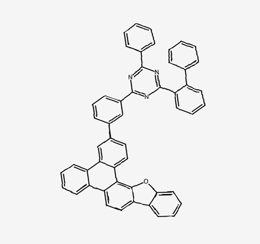 c1ccc(-c2nc(-c3cccc(-c4ccc5c(c4)c4ccccc4c4ccc6c7ccccc7oc6c45)c3)nc(-c3ccccc3-c3ccccc3)n2)cc1